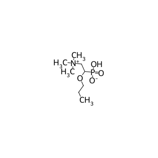 CCCOC(C[N+](C)(C)C)P(=O)([O-])O